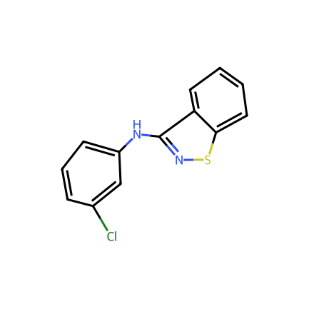 Clc1cccc(Nc2nsc3ccccc23)c1